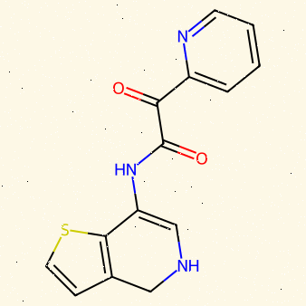 O=C(NC1=CNCc2ccsc21)C(=O)c1ccccn1